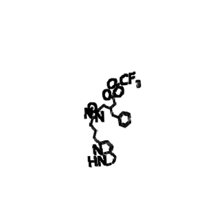 O=C(CC(Cc1ccccc1)Cc1nc(CCCc2ccc3c(n2)NCCC3)no1)OC(=O)C(F)(F)F